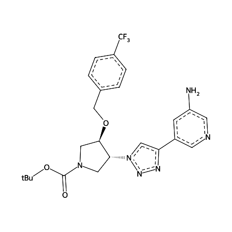 CC(C)(C)OC(=O)N1C[C@@H](n2cc(-c3cncc(N)c3)nn2)[C@H](OCc2ccc(C(F)(F)F)cc2)C1